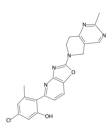 Cc1ncc2c(n1)CCN(c1nc3nc(-c4c(C)cc(Cl)cc4O)ccc3o1)C2